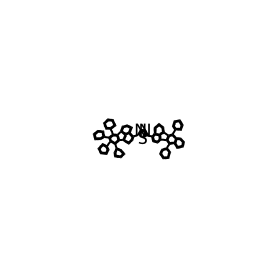 c1ccc(-c2c(-c3ccccc3)c(-c3ccccc3)c3c(c2-c2ccccc2)-c2cccc4c(-c5nnc(-c6ccc7c8c(cccc68)-c6c-7c(-c7ccccc7)c7ccccc7c6-c6ccccc6)s5)ccc-3c24)cc1